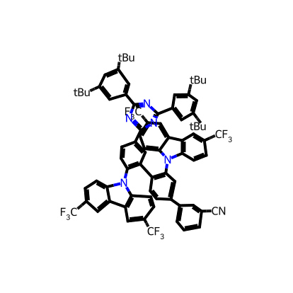 CC(C)(C)c1cc(-c2nc(-c3cc(C(C)(C)C)cc(C(C)(C)C)c3)nc(-c3ccc(-n4c5ccc(C(F)(F)F)cc5c5cc(C(F)(F)F)ccc54)c(-c4ccc(-c5cccc(C#N)c5)cc4-n4c5ccc(C(F)(F)F)cc5c5cc(C(F)(F)F)ccc54)c3)n2)cc(C(C)(C)C)c1